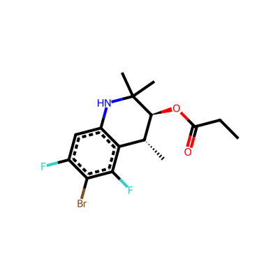 CCC(=O)O[C@H]1[C@H](C)c2c(cc(F)c(Br)c2F)NC1(C)C